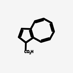 O=C(O)C1C=CC2=C1C=CC=CC=C2